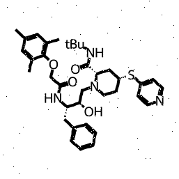 Cc1cc(C)c(OCC(=O)N[C@@H](Cc2ccccc2)[C@H](O)CN2CC[C@@H](Sc3ccncc3)C[C@H]2C(=O)NC(C)(C)C)c(C)c1